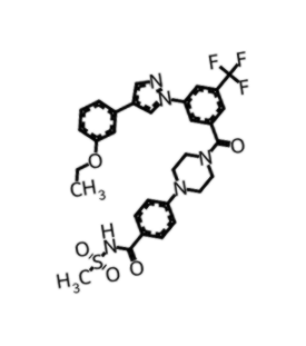 CCOc1cccc(-c2cnn(-c3cc(C(=O)N4CCN(c5ccc(C(=O)NS(C)(=O)=O)cc5)CC4)cc(C(F)(F)F)c3)c2)c1